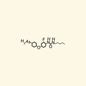 CCCCCNC(=O)Nc1ccc(Oc2ccc([AsH2])cc2)cc1F